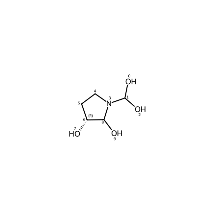 OC(O)N1CC[C@@H](O)C1O